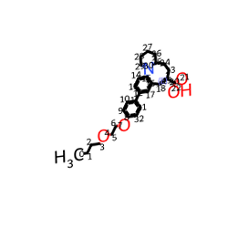 CCCCOCCOc1ccc(-c2ccc3c(c2)/C=C(/C(=O)O)CCC2CCCCN32)cc1